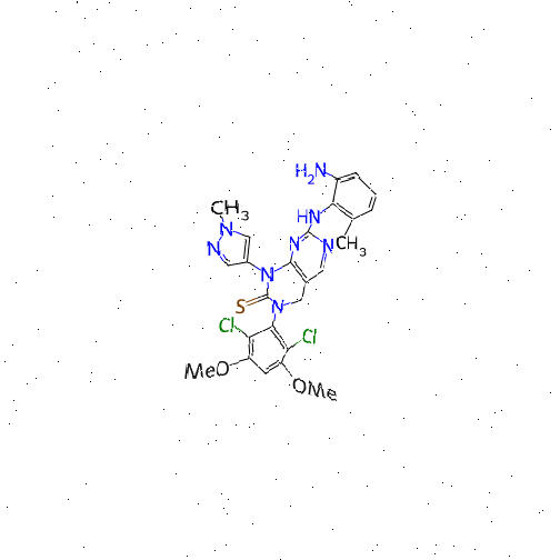 COc1cc(OC)c(Cl)c(N2Cc3cnc(Nc4c(C)cccc4N)nc3N(c3cnn(C)c3)C2=S)c1Cl